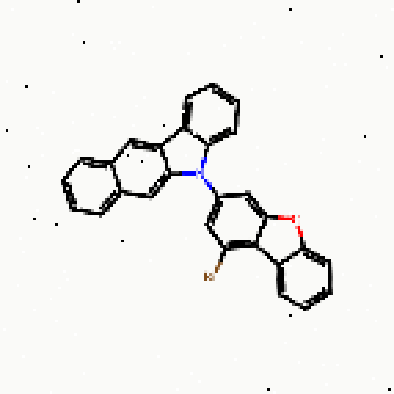 Brc1cc(-n2c3ccccc3c3cc4ccccc4cc32)cc2oc3ccccc3c12